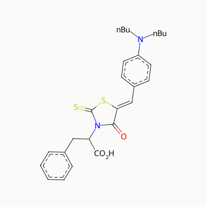 CCCCN(CCCC)c1ccc(/C=C2\SC(=S)N(C(Cc3ccccc3)C(=O)O)C2=O)cc1